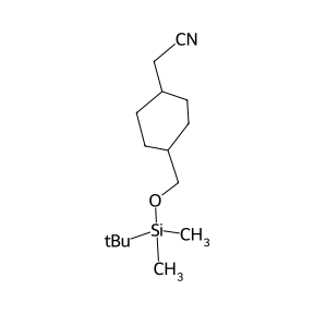 CC(C)(C)[Si](C)(C)OCC1CCC(CC#N)CC1